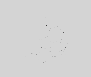 CN1CC[C@]23c4c5ccc(OC(=O)O)c4O[C@H]2[C@@H](OC(=O)O)C=C[C@H]3[C@H]1C5